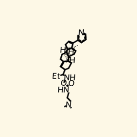 CCC(NOC(=O)NCCCN(C)C)C1C=C2CC[C@H]3[C@H](CC[C@]4(C)C(c5cccnc5)=CC[C@@H]34)[C@@]2(C)CC1